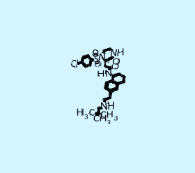 CC(C)(C)CNCCc1ccc2c(c1)CCC[C@H]2NC(=O)C[C@@H]1C(=O)NCCN1S(=O)(=O)c1ccc(Cl)cc1